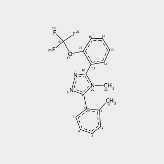 Cc1ccccc1-c1nnc(-c2ccccc2OC(F)(F)F)n1C